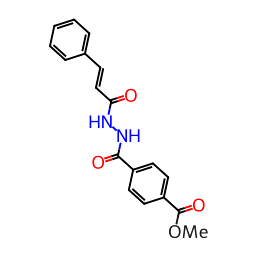 COC(=O)c1ccc(C(=O)NNC(=O)/C=C/c2ccccc2)cc1